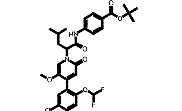 COc1cn(C(CC(C)C)C(=O)Nc2ccc(C(=O)OC(C)(C)C)cc2)c(=O)cc1-c1cc(Cl)ccc1OC(F)F